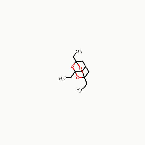 CCC12CC3CC(CC)(O1)OC(CC)(C3)O2